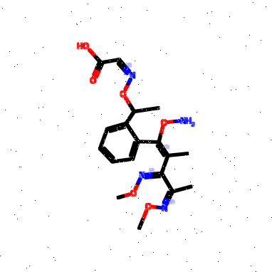 CO\N=C(C)/C(=N\OC)C(/C)=C(/ON)c1ccccc1C(C)O/N=C\C(=O)O